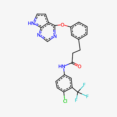 O=C(CCc1cccc(Oc2ncnc3[nH]ccc23)c1)Nc1ccc(Cl)c(C(F)(F)F)c1